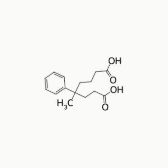 CC(CCCC(=O)O)(CCC(=O)O)c1ccccc1